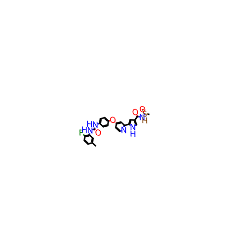 Cc1ccc(F)c(NC(=O)Nc2ccc(Oc3ccnc(-c4cc(C(=O)/N=[SH](/C)=O)c[nH]4)c3)cc2)c1